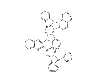 c1ccc(-n2c3ccccc3c3cc(-c4nc5ccccc5nc4-n4c5ccccc5c5c6c7ccc8ccccc8c7n7c8ccccc8c(cc54)c67)ccc32)cc1